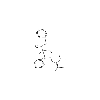 CCC(C)(C(=O)Oc1ccccc1)[C@H](CCN(C(C)C)C(C)C)c1ccccc1